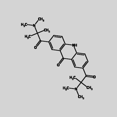 CN(C)C(C)(C)C(=O)c1ccc2[nH]c3ccc(C(=O)C(C)(C)N(C)C)cc3c(=O)c2c1